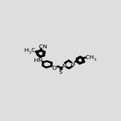 Cc1ccc(N2CCN(C(=S)COC3CCC(Nc4ccc(C#N)c(C)c4)CC3)CC2)cc1